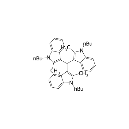 CCCCn1c(C)c(C(c2c(C)n(CCCC)c3ccccc23)c2c(C)n(CCCC)c3ccccc23)c2ccccc21